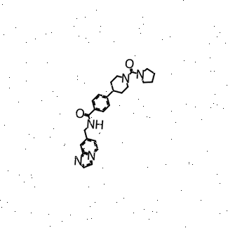 O=C(NCc1ccn2ccnc2c1)c1ccc(C2CCN(C(=O)N3CCCC3)CC2)cc1